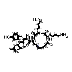 CC(C)C[C@H](NC(=O)[C@H](Cc1ccc(O)cc1)NC(=O)[C@@H]1C/C=C/CCC(=O)N[C@@H](CCCCN)C(=O)N[C@@H](CCCCN)C(=O)N1)C(=O)O